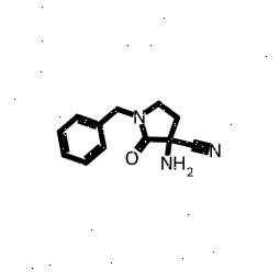 N#CC1(N)CCN(Cc2ccccc2)C1=O